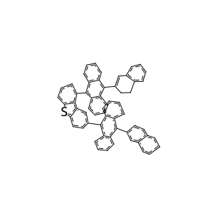 C1=C(c2c3ccccc3c(-c3cccc4sc5ccc(-c6c7ccccc7c(-c7ccc8ccccc8c7)c7ccccc67)cc5c34)c3ccccc23)CCc2ccccc21